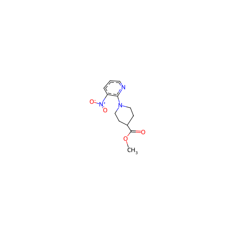 COC(=O)C1CCN(c2ncccc2[N+](=O)[O-])CC1